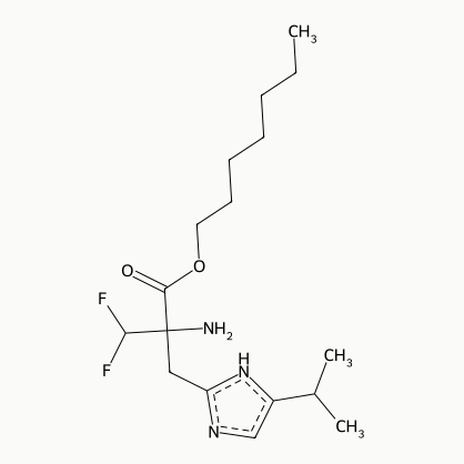 CCCCCCCOC(=O)C(N)(Cc1ncc(C(C)C)[nH]1)C(F)F